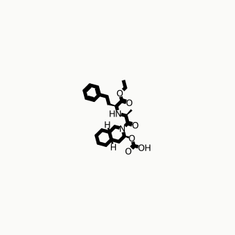 CCOC(=O)[C@H](CCc1ccccc1)N[C@@H](C)C(=O)N1C[C@H]2CCCC[C@H]2C[C@@H]1OC(=O)O